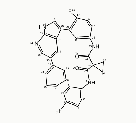 O=C(Nc1ccc(F)cc1)C1(C(=O)Nc2ccc(F)c(-c3c[nH]c4ncc(-c5ccccc5)cc34)c2)CC1